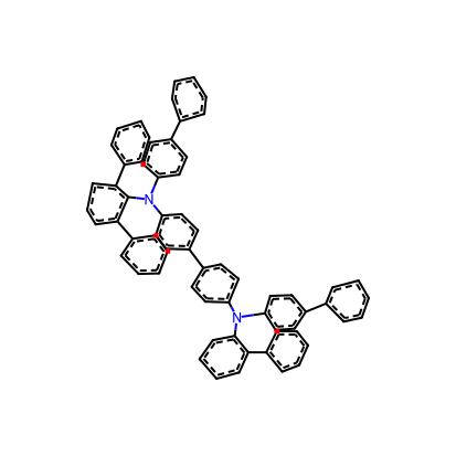 c1ccc(-c2ccc(N(c3ccc(-c4ccc(N(c5ccc(-c6ccccc6)cc5)c5c(-c6ccccc6)cccc5-c5ccccc5)cc4)cc3)c3ccccc3-c3ccccc3)cc2)cc1